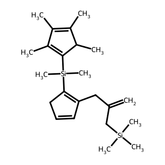 C=C(CC1=C([Si](C)(C)C2=C(C)C(C)=C(C)C2C)CC=C1)C[Si](C)(C)C